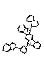 c1cc(-c2ccc3ccccc3c2)cc(-n2c3ccccc3c3cc4c(cc32)c2ccccc2n4-c2cccc3ccccc23)c1